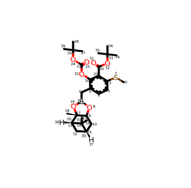 CSc1ccc(CB2OC3C[C@@H]4C[C@@H](C4(C)C)[C@]3(C)O2)c(OC(=O)OC(C)(C)C)c1C(=O)OC(C)(C)C